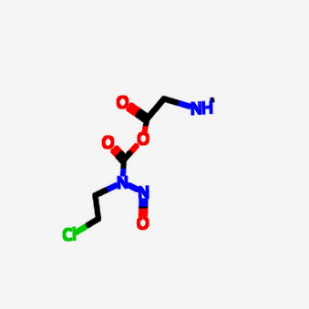 CNCC(=O)OC(=O)N(CCCl)N=O